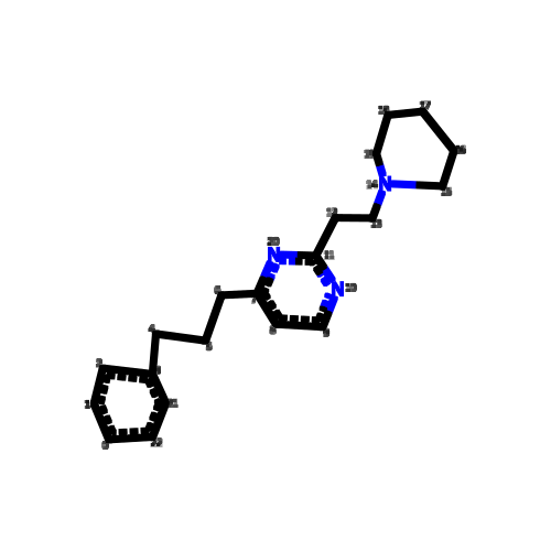 c1ccc(CCCc2ccnc(CCN3CCCCC3)n2)cc1